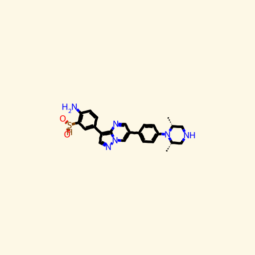 C[C@@H]1CNC[C@H](C)N1c1ccc(-c2cnc3c(-c4ccc(N)c([SH](=O)=O)c4)cnn3c2)cc1